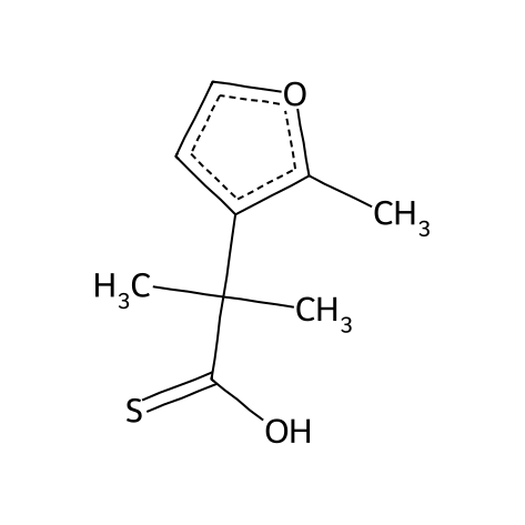 Cc1occc1C(C)(C)C(O)=S